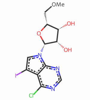 COC[C@H]1O[C@@H](n2cc(I)c3c(Cl)ncnc32)[C@@H](O)[C@H]1O